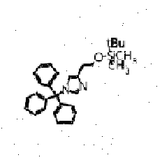 CC(C)(C)[Si](C)(C)OCCc1cn(C(c2ccccc2)(c2ccccc2)c2ccccc2)cn1